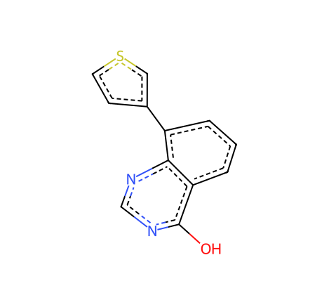 Oc1ncnc2c(-c3ccsc3)cccc12